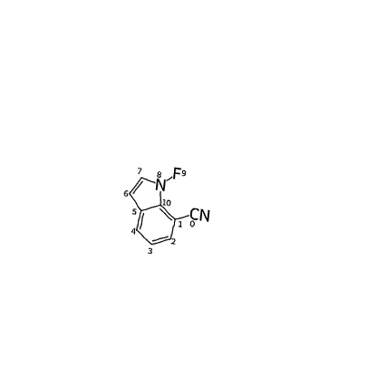 N#Cc1cccc2ccn(F)c12